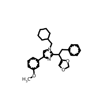 COc1cccc(-c2cn(CC3CCCCC3)c(C(Cc3ccccc3)C3=COCO3)n2)c1